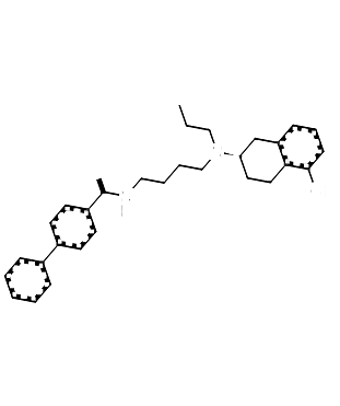 CCCN(CCCCNC(=O)c1ccc(-c2ccccc2)cc1)[C@@H]1CCc2c(O)cccc2C1